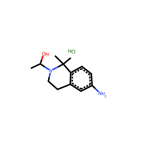 CC(O)N1CCc2cc(N)ccc2C1(C)C.Cl